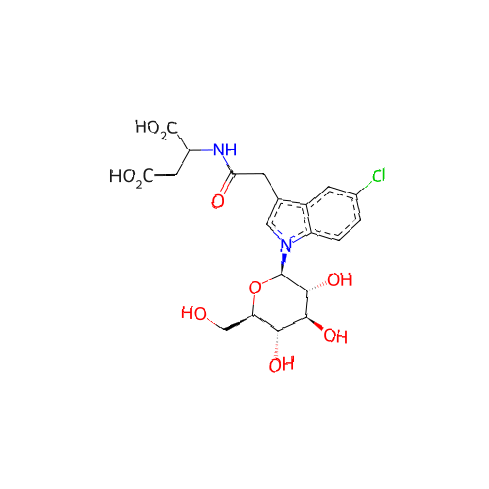 O=C(O)CC(NC(=O)Cc1cn([C@@H]2O[C@H](CO)[C@@H](O)[C@H](O)[C@H]2O)c2ccc(Cl)cc12)C(=O)O